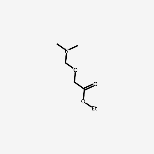 CCOC(=O)COCN(C)C